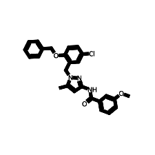 COc1cccc(C(=O)Nc2cc(C)n(Cc3cc(Cl)ccc3OCc3ccccc3)n2)c1